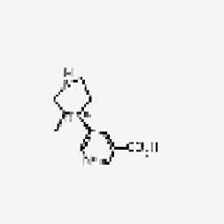 C[C@H]1CNCC[C@H]1c1cncc(C(=O)O)c1